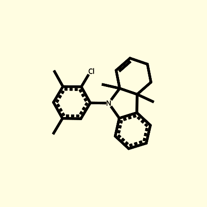 Cc1cc(C)c(Cl)c(N2c3ccccc3C3(C)CCC=CC23C)c1